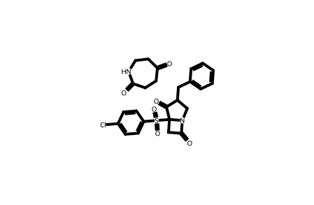 O=C1CC2(S(=O)(=O)c3ccc(Cl)cc3)C(=O)C(Cc3ccccc3)CN12.O=C1CCNC(=O)CC1